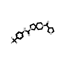 O=C(Nc1ccc(C(F)(F)F)cc1)N1CCC2(CCN(C(=O)C3CCOC3)CC2)C1